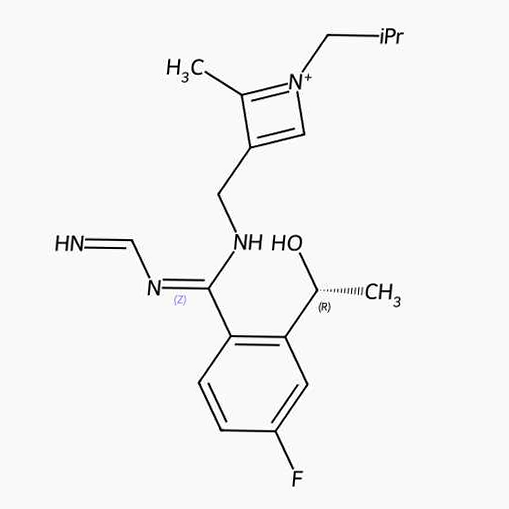 CC1=[N+](CC(C)C)C=C1CN/C(=N\C=N)c1ccc(F)cc1[C@@H](C)O